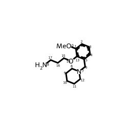 COc1cccc(CN2CCCCC2)c1OCCCN